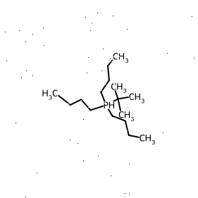 CCCC[PH](CCCC)(CCCC)C(C)(C)C